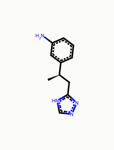 C[C@H](Cc1nnc[nH]1)c1cccc(N)c1